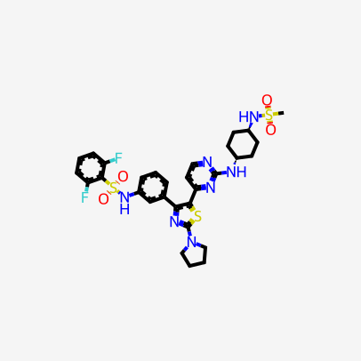 CS(=O)(=O)N[C@H]1CC[C@H](Nc2nccc(-c3sc(N4CCCC4)nc3-c3cccc(NS(=O)(=O)c4c(F)cccc4F)c3)n2)CC1